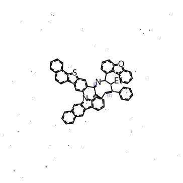 CCC1/C(c2ccccc2)=C/C[C@@H](C)/C(c2cc3sc4c5ccccc5ccc4c3cc2-n2c3ccccc3c3cc4ccccc4cc32)=N\C1c1cccc2oc3ccccc3c12